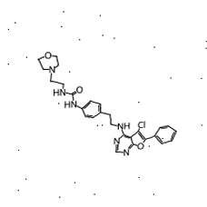 O=C(NCCN1CCOCC1)Nc1ccc(CCNc2ncnc3oc(-c4ccccc4)c(Cl)c23)cc1